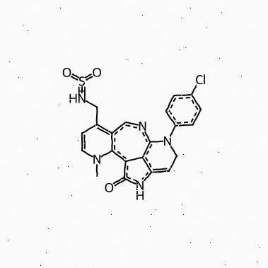 CN1C=CC(CN[SH](=O)=O)=c2cnc3c4c([nH]c(=O)c-4c21)=CCN3c1ccc(Cl)cc1